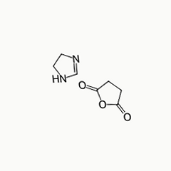 C1=NCCN1.O=C1CCC(=O)O1